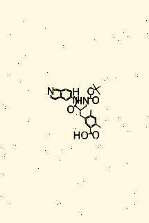 Cc1cc(C)c(C(=O)O)cc1CC(CNC(=O)OC(C)(C)C)C(=O)Nc1ccc2cnccc2c1